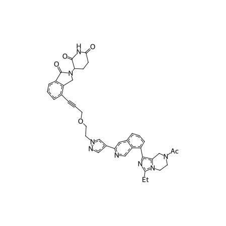 CCc1nc(-c2cccc3cc(-c4cnn(CCOCC#Cc5cccc6c5CN(C5CCC(=O)NC5=O)C6=O)c4)ncc23)c2n1CCN(C(C)=O)C2